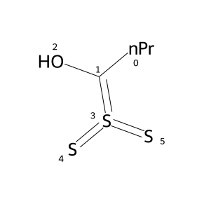 CCCC(O)=S(=S)=S